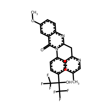 COc1ccc2nc(Cc3cnc(C)cn3)n(-c3ccc(C(O)(C(F)(F)F)C(F)(F)F)cc3)c(=O)c2c1